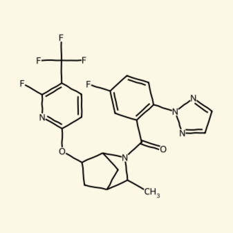 CC1C2CC(Oc3ccc(C(F)(F)F)c(F)n3)C(C2)N1C(=O)c1cc(F)ccc1-n1nccn1